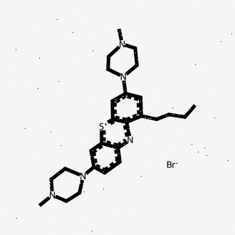 CCCCc1cc(N2CCN(C)CC2)cc2[s+]c3cc(N4CCN(C)CC4)ccc3nc12.[Br-]